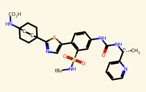 C[C@@H](NC(=O)Nc1ccc(-c2cnc(C34CCC(NC(=O)O)(CC3)CC4)s2)c(S(=O)(=O)NC(C)(C)C)c1)c1ccccn1